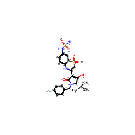 CC(C)(C)[C@H]1C(O)=C(C2=CS(=O)(=O)c3cc(NS(N)(=O)=O)ccc3N2)C(=O)N1Cc1ccc(F)cc1